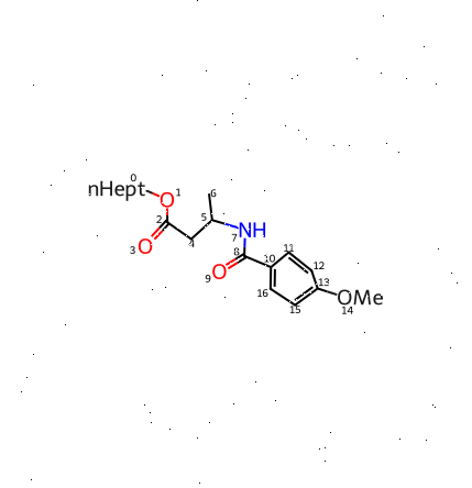 CCCCCCCOC(=O)CC(C)NC(=O)c1ccc(OC)cc1